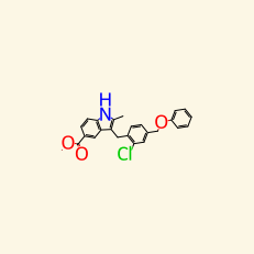 COC(=O)c1ccc2[nH]c(C)c(Cc3ccc(COc4ccccc4)cc3Cl)c2c1